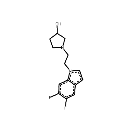 OC1CCN(CCn2ccc3cc(F)c(F)cc32)C1